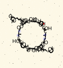 CO[C@H]1CC(CC[C@H](C)[C@H](O)[C@H](C)[C@H]2OC(=O)/C=C/C(C)=C/C[C@H](O)C[C@@H]3C=CC[C@@H](C[C@H](OC)[C@@H](C)[C@@H](O)C[C@@H](O)[C@H](C)[C@@H]([C@@H](C)[C@@H](O)[C@@H](C)CC[C@H]4CCC[C@H](C)O4)OC(=O)/C=C/C(C)=C/C[C@H](O)C[C@@H]4C=CC[C@@H](C[C@H](OC)[C@@H](C)[C@@H](O)C[C@@H](O)[C@@H]2C)O4)O3)O[C@@H](C)C1